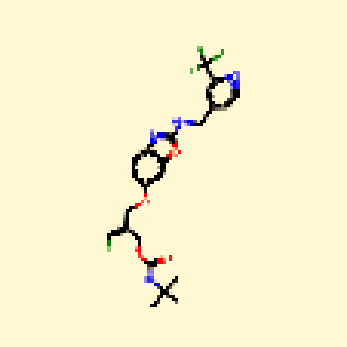 CC(C)(C)NC(=O)OC/C(=C\F)COc1ccc2nc(NCc3ccnc(C(F)(F)F)c3)oc2c1